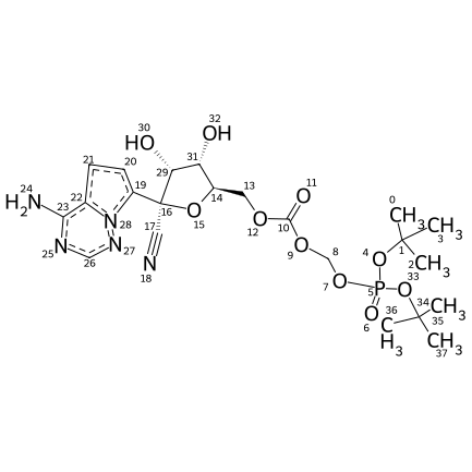 CC(C)(C)OP(=O)(OCOC(=O)OC[C@H]1O[C@@](C#N)(c2ccc3c(N)ncnn23)[C@H](O)[C@@H]1O)OC(C)(C)C